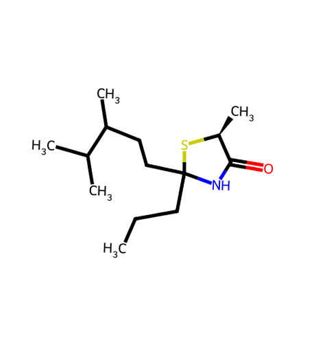 CCCC1(CCC(C)C(C)C)NC(=O)[C@H](C)S1